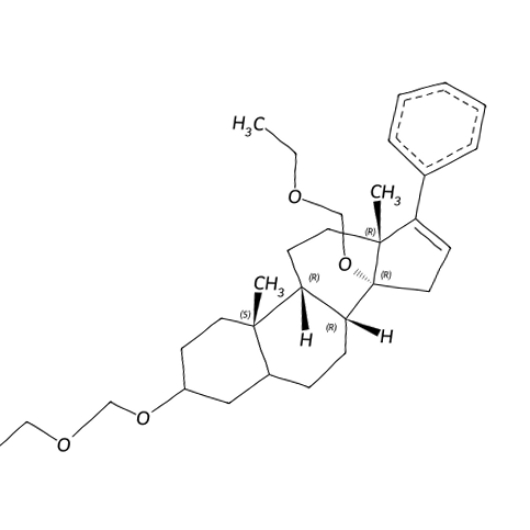 CCOCOC1CC[C@@]2(C)C(CC[C@@H]3[C@H]2CC[C@]2(C)C(c4ccccc4)=CC[C@@]32OCOCC)C1